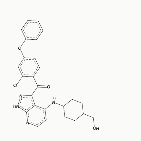 O=C(c1ccc(Oc2ccccc2)cc1Cl)c1n[nH]c2nccc(NC3CCC(CO)CC3)c12